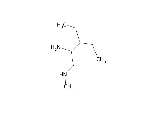 CCC(CC)C(N)CNC